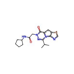 CC(C)c1nn(CC(=O)NC2CCCC2)c(=O)c2cc3scnc3n12